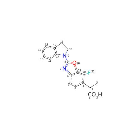 CC(C(=O)O)c1ccc2nc(N3CCc4ccccc43)oc2c1F